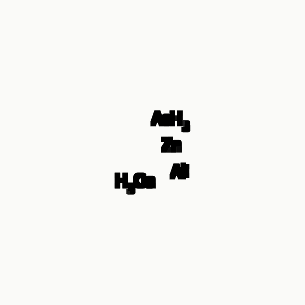 [Al].[AsH3].[GaH3].[Zn]